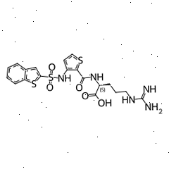 N=C(N)NCCC[C@H](NC(=O)c1sccc1NS(=O)(=O)c1cc2ccccc2s1)C(=O)O